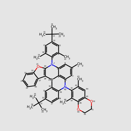 Cc1cc2c3c(c1)N(c1c(C)cc(C(C)(C)C)cc1C)c1oc4ccccc4c1B3c1cc(C(C)(C)C)ccc1N2c1c(C)cc2c(c1C)OCCO2